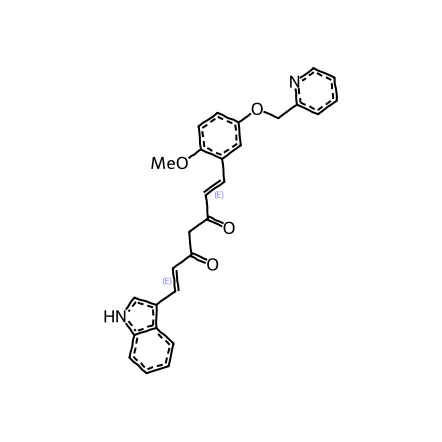 COc1ccc(OCc2ccccn2)cc1/C=C/C(=O)CC(=O)/C=C/c1c[nH]c2ccccc12